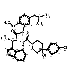 COc1ccc(CN(C)C)cc1NC(=O)[C@H](NC(=O)N1CCC(O)(c2ccc(Cl)cc2)CC1)[C@H](C)c1c[nH]c2ccccc12